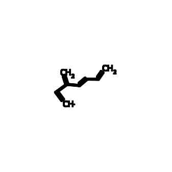 [CH]=CC(=C)C=CC=C